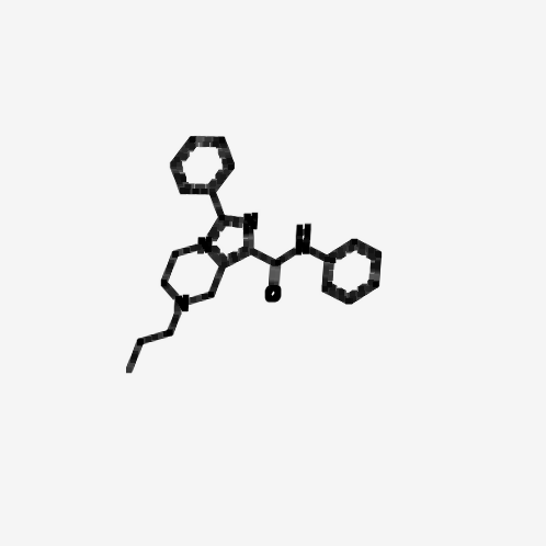 CCCN1CCn2c(-c3ccccc3)nc(C(=O)Nc3ccccc3)c2C1